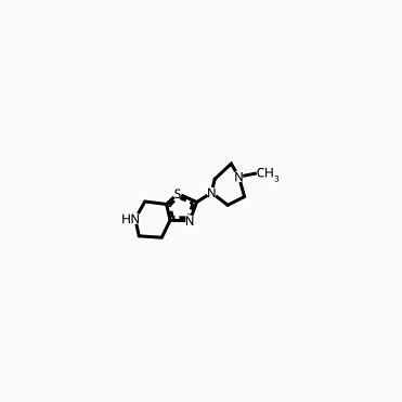 CN1CCN(c2nc3c(s2)CNCC3)CC1